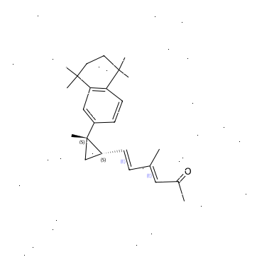 CC(=O)/C=C(C)/C=C/[C@@H]1C[C@]1(C)c1ccc2c(c1)C(C)(C)CCC2(C)C